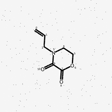 C=CCN1CCOC(=O)C1=O